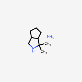 CC1(C)NCC2CCCC21.N